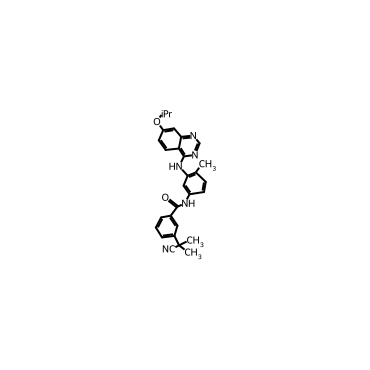 Cc1ccc(NC(=O)c2cccc(C(C)(C)C#N)c2)cc1Nc1ncnc2cc(OC(C)C)ccc12